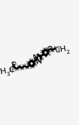 C=CCOc1ccc(-c2cnc(-c3ccc(CCCCCC(C)F)cc3)nc2)cc1